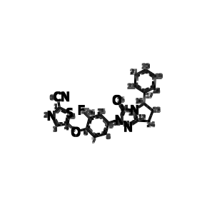 N#Cc1ncc(Oc2ccc(-n3nc4n(c3=O)C(c3ccccc3)CC4)cc2F)s1